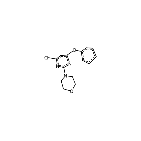 Clc1cc(Oc2ccccc2)nc(N2CCOCC2)n1